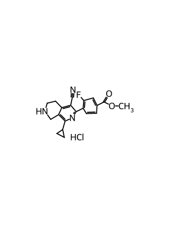 COC(=O)c1ccc(-c2nc(C3CC3)c3c(c2C#N)CCNC3)c(F)c1.Cl